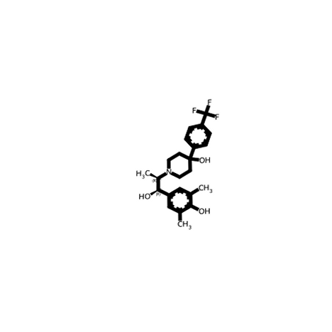 Cc1cc([C@@H](O)[C@@H](C)N2CCC(O)(c3ccc(C(F)(F)F)cc3)CC2)cc(C)c1O